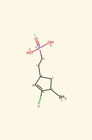 BC1CC(CCP(=O)(O)O)C=C1F